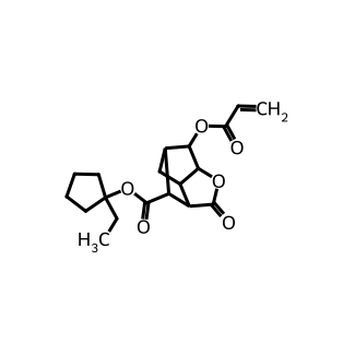 C=CC(=O)OC1C2CC3C1OC(=O)C3C2C(=O)OC1(CC)CCCC1